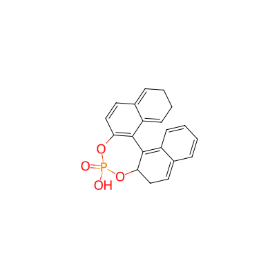 O=P1(O)Oc2ccc3c(c2C2=c4ccccc4=CCC2O1)=CCCC=3